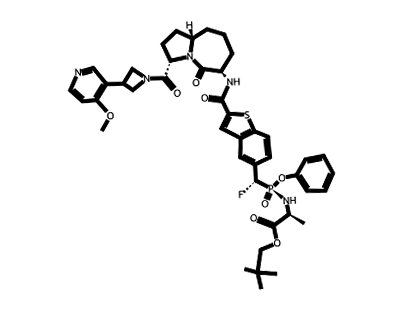 COc1ccncc1C1CN(C(=O)[C@@H]2CC[C@@H]3CCC[C@H](NC(=O)c4cc5cc([C@@H](F)[P@](=O)(N[C@@H](C)C(=O)OCC(C)(C)C)Oc6ccccc6)ccc5s4)C(=O)N32)C1